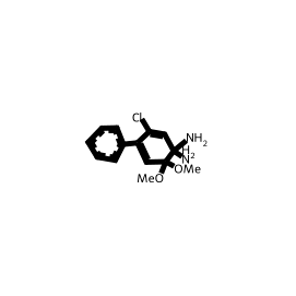 COC1(OC)C=C(c2ccccc2)C(Cl)=CC1(N)N